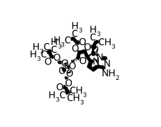 CC(C)C(=O)O[C@H]1[C@@H](OC(=O)C(C)C)[C@](C#N)(c2ccc3c(N)ncnn23)O[C@@H]1COP(=O)(OCOC(=O)C(C)(C)C)OCOC(=O)C(C)(C)C